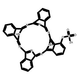 O=[S](=O)([Zn])Oc1cccc2c3nc4nc(nc5[nH]c(nc6nc(nc([nH]3)c12)-c1ccccc1-6)c1ccccc51)-c1ccccc1-4